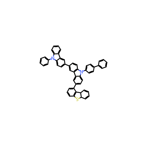 C1=CC2Sc3cccc(-c4ccc5c(c4)c4cc(-c6ccc7c(c6)c6ccccc6n7-c6ccccc6)ccc4n5-c4ccc(-c5ccccc5)cc4)c3C2C=C1